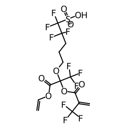 C=COC(=O)C(OCCCC(F)(F)C(F)(F)S(=O)(=O)O)(OC(=O)C(=C)C(F)(F)F)C(F)(F)F